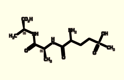 C[C@H](NC(=O)[C@H](C)NC(=O)C(N)CCP(C)(=O)O)C(=O)O